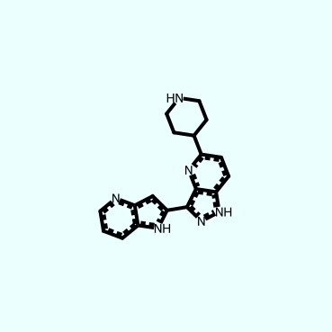 c1cnc2cc(-c3n[nH]c4ccc(C5CCNCC5)nc34)[nH]c2c1